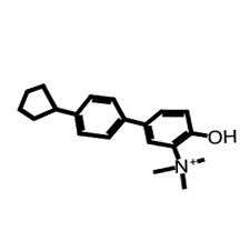 C[N+](C)(C)c1cc(-c2ccc(C3CCCC3)cc2)ccc1O